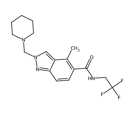 Cc1c(C(=O)NCC(F)(F)F)ccc2nn(CN3CCCCC3)cc12